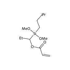 C=CC(=O)OC(CC)[Si](CCC(C)C)(OC)OC